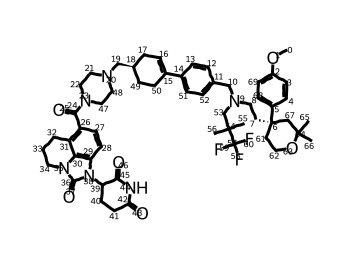 COc1ccc([C@]2(CCN(Cc3ccc(C4=CC[C@H](CN5CCN(C(=O)c6ccc7c8c6CCCn8c(=O)n7C6CCC(=O)NC6=O)CC5)CC4)cc3)CC(C)(C)C(F)(F)F)CCOC(C)(C)C2)cc1